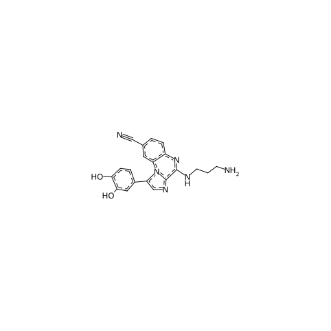 N#Cc1ccc2nc(NCCCN)c3ncc(-c4ccc(O)c(O)c4)n3c2c1